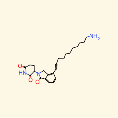 NCCCCCCCCCC#Cc1cccc2c1CN(C1CCC(=O)NC1=O)C2=O